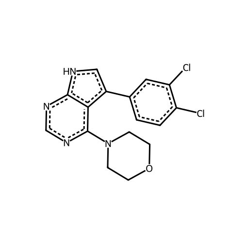 Clc1ccc(-c2c[nH]c3ncnc(N4CCOCC4)c23)cc1Cl